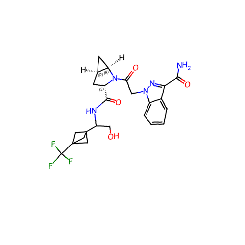 NC(=O)c1nn(CC(=O)N2[C@@H]3C[C@@H]3C[C@H]2C(=O)NC(CO)C23CC(C(F)(F)F)(C2)C3)c2ccccc12